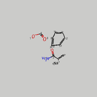 C=CC(N)=O.O=C[O-].[Na+].c1ccccc1